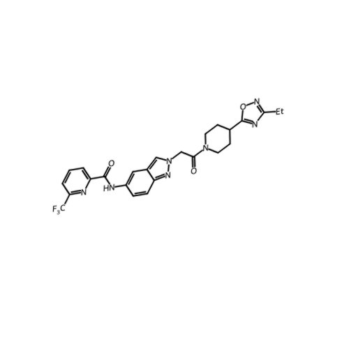 CCc1noc(C2CCN(C(=O)Cn3cc4cc(NC(=O)c5cccc(C(F)(F)F)n5)ccc4n3)CC2)n1